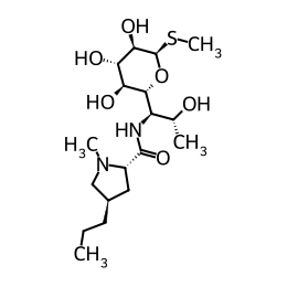 CCC[C@@H]1C[C@@H](C(=O)N[C@@H]([C@H]2O[C@H](SC)[C@H](O)[C@@H](O)[C@@H]2O)[C@@H](C)O)N(C)C1